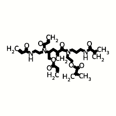 C=CC(=O)NCCN(C(=O)C=C)C(COC(=O)C=C)CC(=C)C(=O)N(CCCNC(=O)C(=C)C)CCOC(=O)C(=C)C